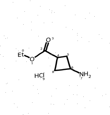 CCOC(=O)C1CC(N)C1.Cl